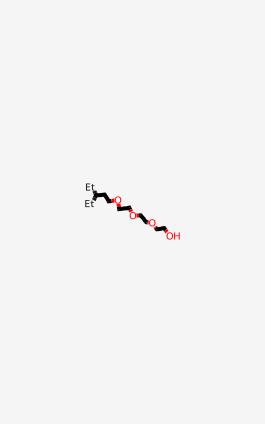 CCC(CC)CCOCCOCCOCCO